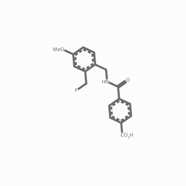 COc1ccc(CNC(=O)c2ccc(C(=O)O)cc2)c(CF)c1